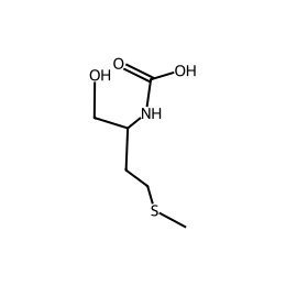 CSCCC(CO)NC(=O)O